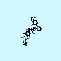 Cc1cc(NC(=O)C(=O)N2CCCCC2C2CCC(F)(F)CC2)cnc1NC(=O)OC(C)(C)C